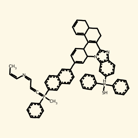 C/C=C\N=C/C=C=P(C)(c1ccccc1)c1ccc2cc(C3=CC4C(C=C3)C3=C(CCC5CC=CC=C35)c3nc5ccc([PH](S)(c6ccccc6)c6ccccc6)cc5n34)ccc2c1